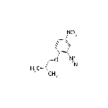 C=C(C)COc1ccc([N+](=O)[O-])cc1[N+]#N